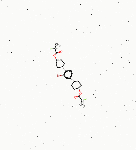 C[C@H](F)C(=O)O[C@H]1CC[C@H](c2ccc([C@H]3CC[C@H](OC(=O)[C@H](C)F)CC3)c(Br)c2)CC1